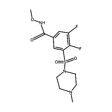 CONC(=O)c1cc(F)c(F)c(S(=O)(=O)N2CCN(C)CC2)c1